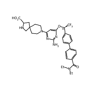 CCN(CC)C(=O)c1ccc(-c2ccc([C@@H](Oc3cc(N4CCC5(CC4)CNC(C(=O)O)C5)nc(N)n3)C(F)(F)F)cc2)cc1